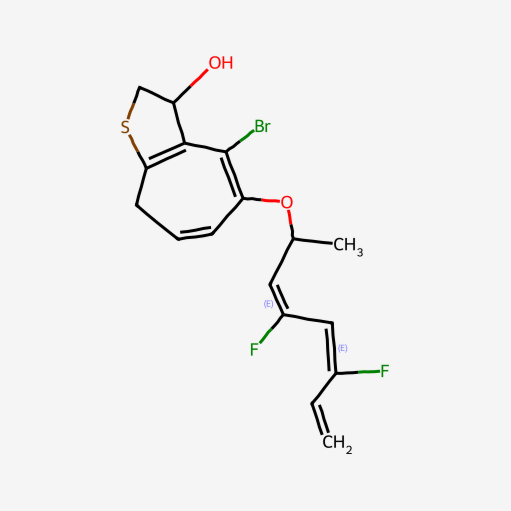 C=C/C(F)=C\C(F)=C/C(C)OC1=C(Br)C2=C(CC=C1)SCC2O